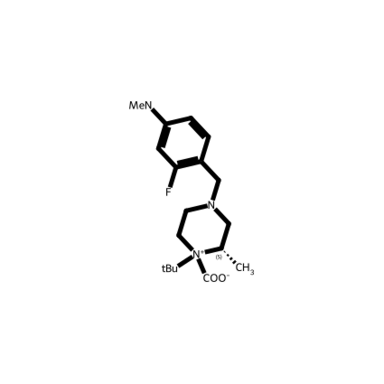 CNc1ccc(CN2CC[N+](C(=O)[O-])(C(C)(C)C)[C@@H](C)C2)c(F)c1